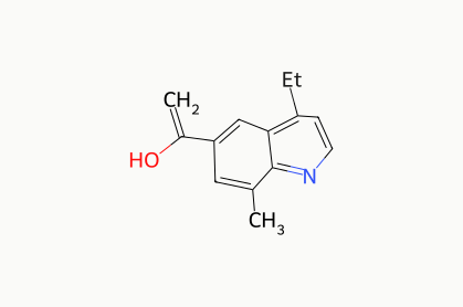 C=C(O)c1cc(C)c2nccc(CC)c2c1